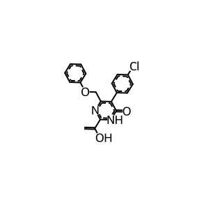 C=C(O)c1nc(COc2ccccc2)c(-c2ccc(Cl)cc2)c(=O)[nH]1